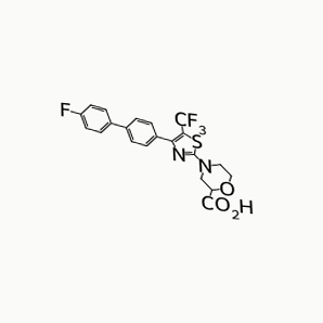 O=C(O)C1CN(c2nc(-c3ccc(-c4ccc(F)cc4)cc3)c(C(F)(F)F)s2)CCO1